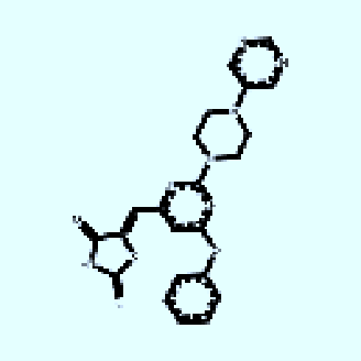 O=C1NC(=O)/C(=C/c2cc(Oc3ccccc3)nc(N3CCN(c4cncnc4)CC3)n2)S1